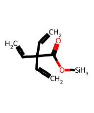 C=CC(C=C)(C=C)C(=O)O[SiH3]